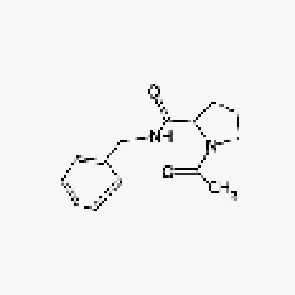 CC(=O)N1CCCC1C(=O)NCc1c[c]ccc1